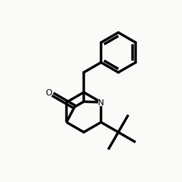 CC(C)(C)C1CC2CCN1C(Cc1ccccc1)C2=O